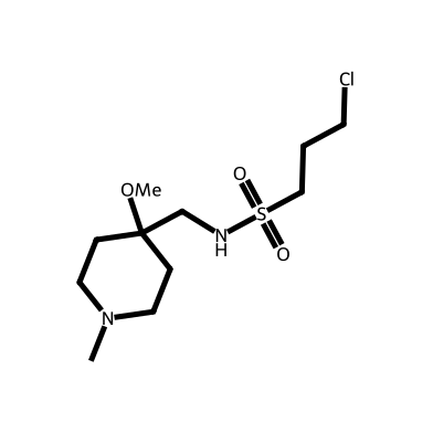 COC1(CNS(=O)(=O)CCCCl)CCN(C)CC1